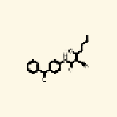 CCCCC(O)=C(C#N)C(=O)Nc1ccc(C(=O)c2ccccc2)cc1